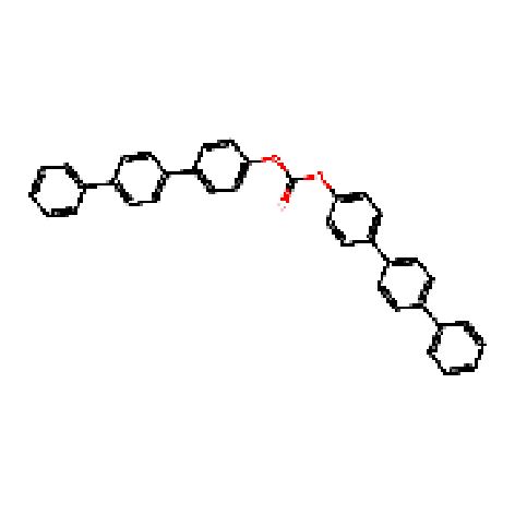 O=C(Oc1ccc(-c2ccc(-c3ccccc3)cc2)cc1)Oc1ccc(-c2ccc(-c3ccccc3)cc2)cc1